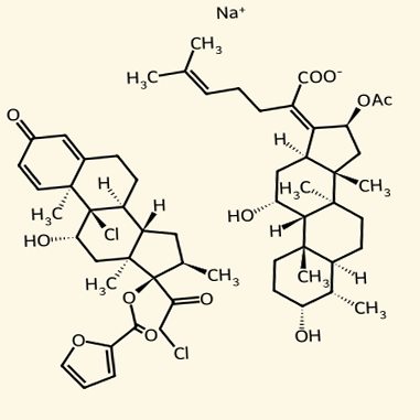 CC(=O)O[C@H]1C[C@@]2(C)[C@@H](C[C@@H](O)[C@H]3[C@@]4(C)CC[C@@H](O)[C@@H](C)[C@@H]4CC[C@@]32C)/C1=C(\CCC=C(C)C)C(=O)[O-].C[C@@H]1C[C@H]2[C@@H]3CCC4=CC(=O)C=C[C@]4(C)[C@@]3(Cl)[C@@H](O)C[C@]2(C)[C@@]1(OC(=O)c1ccco1)C(=O)CCl.[Na+]